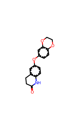 O=C1CCc2cc(Oc3ccc4c(c3)OCCO4)ccc2N1